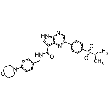 CC(C)S(=O)(=O)c1ccc(-c2cnc3[nH]cc(C(=O)NCc4ccc(N5CCOCC5)cc4)c3n2)cc1